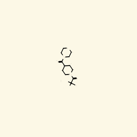 CC(C)C(C)(C)C(=O)N1CCC(C(=O)N2CCOCC2)CC1